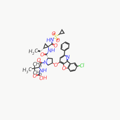 C=C[C@@H]1C[C@]1(NC(=O)[C@@H]1C[C@@H](Oc2cc(-c3ccccc3)nc3c2oc2ccc(Cl)cc23)CN1C(=O)[C@@H](NC(=O)O)C(C)(C)C)C(=O)NS(=O)(=O)C1CC1